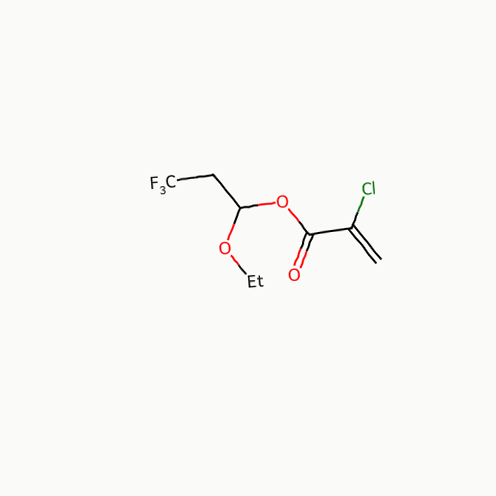 C=C(Cl)C(=O)OC(CC(F)(F)F)OCC